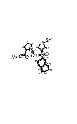 COC(=O)C1CCCN1C(=O)[C@@H]1C[C@@H](S)CN1S(=O)(=O)c1ccc2ccccc2c1